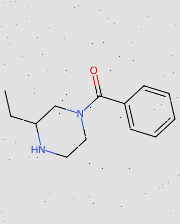 CCC1CN(C(=O)c2ccccc2)CCN1